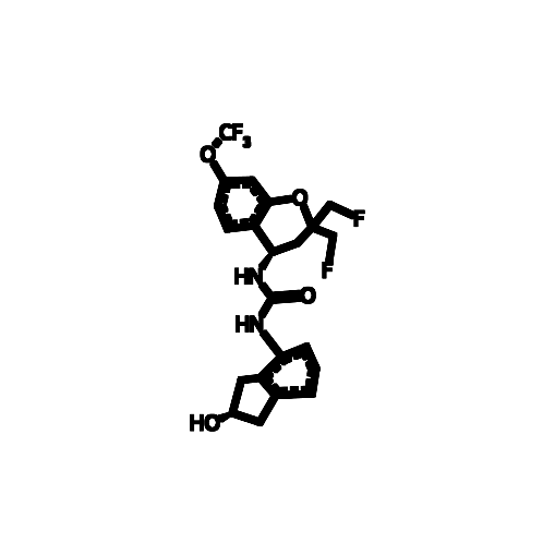 O=C(Nc1cccc2c1C[C@H](O)C2)N[C@@H]1CC(CF)(CF)Oc2cc(OC(F)(F)F)ccc21